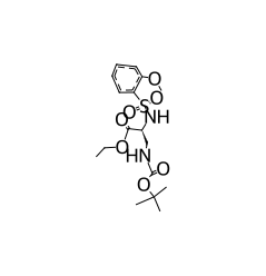 CCOC(=O)[C@H](CNC(=O)OC(C)(C)C)NS(=O)(=O)c1ccccc1OC